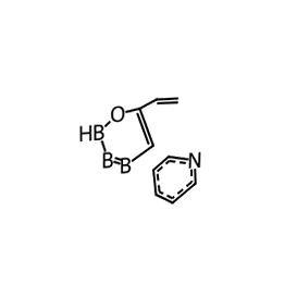 C=CC1=CB=BBO1.c1ccncc1